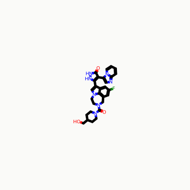 O=C(N1CCC(CO)CC1)N1CCn2cc(-c3[nH][nH]c(=O)c3-c3cnc4ccccn34)c3cc(F)cc(c32)C1